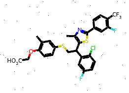 Cc1cc(SCC(c2cc(F)ccc2Cl)c2sc(-c3ccc(C(F)(F)F)c(F)c3)nc2C)ccc1OCC(=O)O